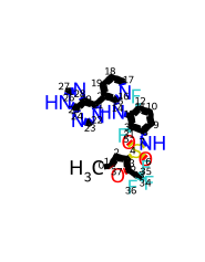 Cc1cc(S(=O)(=O)Nc2ccc(F)c(Nc3ncccc3-c3ncnc4[nH]cnc34)c2F)c(C(F)(F)F)o1